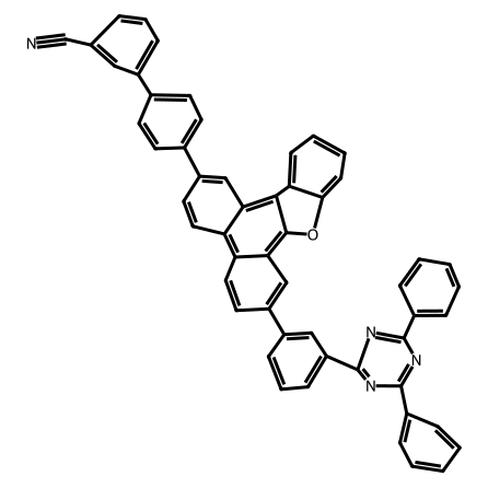 N#Cc1cccc(-c2ccc(-c3ccc4c5ccc(-c6cccc(-c7nc(-c8ccccc8)nc(-c8ccccc8)n7)c6)cc5c5oc6ccccc6c5c4c3)cc2)c1